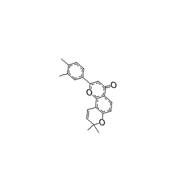 Cc1ccc(-c2cc(=O)c3ccc4c(c3o2)C=CC(C)(C)O4)cc1C